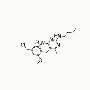 CCCCNc1nc(C)c(Cc2ccc(CCl)cc2OC)c(N)n1